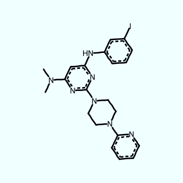 CN(C)c1cc(Nc2cccc(I)c2)nc(N2CCN(c3ccccn3)CC2)n1